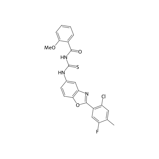 COc1ccccc1C(=O)NC(=S)Nc1ccc2oc(-c3cc(F)c(C)cc3Cl)nc2c1